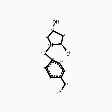 CC[C@@H]1C[C@@H](O)CN1Sc1ccc(CF)cc1